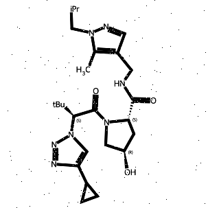 Cc1c(CNC(=O)[C@@H]2C[C@@H](O)CN2C(=O)[C@@H](n2cc(C3CC3)nn2)C(C)(C)C)cnn1CC(C)C